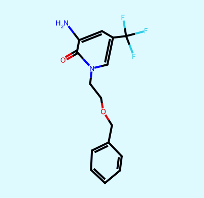 Nc1cc(C(F)(F)F)cn(CCOCc2ccccc2)c1=O